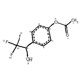 CC(=O)Oc1ccc(C(O)C(F)(F)F)cc1